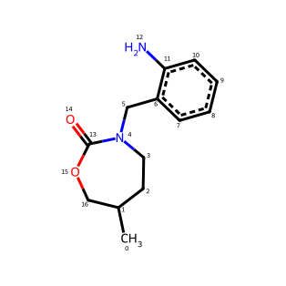 CC1CCN(Cc2ccccc2N)C(=O)OC1